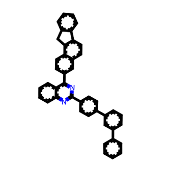 c1ccc(-c2cccc(-c3ccc(-c4nc(-c5ccc6c7c(ccc6c5)-c5ccccc5C7)c5ccccc5n4)cc3)c2)cc1